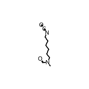 CN(C=O)CCCCCCN=C=O